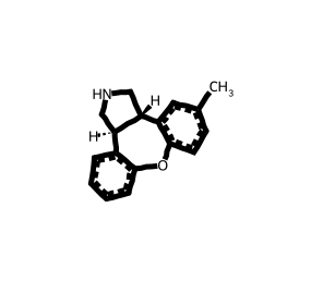 Cc1ccc2c(c1)[C@H]1CNC[C@@H]1c1ccccc1O2